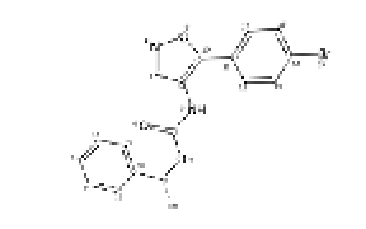 C[C@@H](OC(=O)Nc1cnoc1-c1ccc(Br)cc1)c1ccccc1